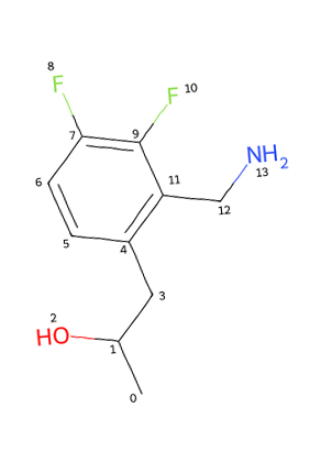 CC(O)Cc1ccc(F)c(F)c1CN